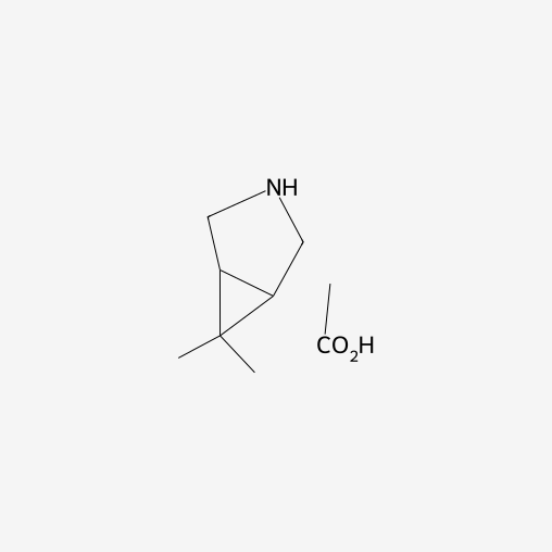 CC(=O)O.CC1(C)C2CNCC21